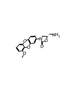 COc1cccc2c1Oc1cc(N3C[C@H](CN)OC3=O)ccc1O2